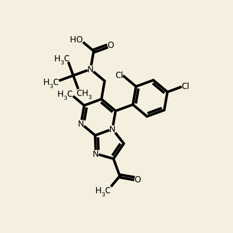 CC(=O)c1cn2c(-c3ccc(Cl)cc3Cl)c(CN(C(=O)O)C(C)(C)C)c(C)nc2n1